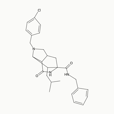 CC(C)CC1C2C3C(=O)NC1(C(=O)NCc1ccccc1)CC3CN2Cc1ccc(Cl)cc1